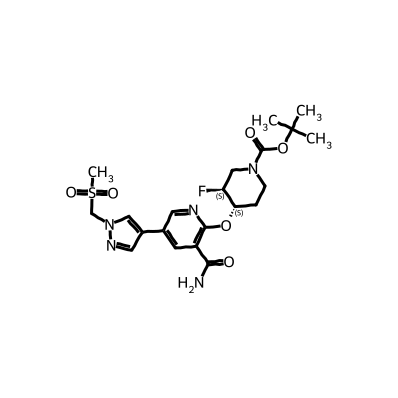 CC(C)(C)OC(=O)N1CC[C@H](Oc2ncc(-c3cnn(CS(C)(=O)=O)c3)cc2C(N)=O)[C@@H](F)C1